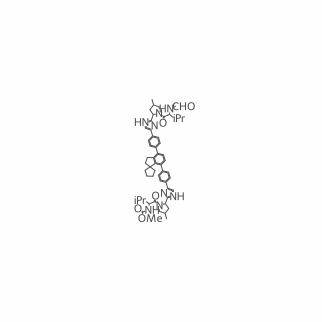 COC(=O)NC(C(=O)N1CC(C)CC1c1nc(-c2ccc(-c3ccc(-c4ccc(-c5c[nH]c(C6CC(C)CN6C(=O)C(NC=O)C(C)C)n5)cc4)c4c3C3(CCCC3)CC4)cc2)c[nH]1)C(C)C